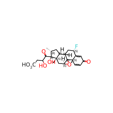 C[C@@H]1C[C@H]2[C@@H]3C[C@H](F)C4=CC(=O)C=C[C@]4(C)[C@@]34O[C@H]4C[C@]2(C)[C@@]1(O)C(=O)C(O)CC(=O)O